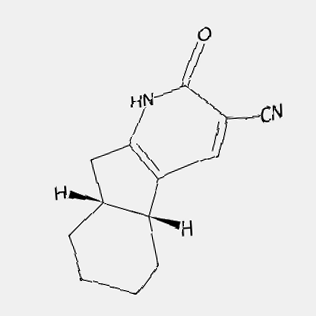 N#Cc1cc2c([nH]c1=O)C[C@H]1CCCC[C@@H]21